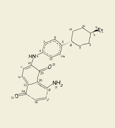 CC[C@H]1CC[C@H](c2ccc(NC3=CC=C4C(=O)C=CC(N)=C4C3=O)cc2)CC1